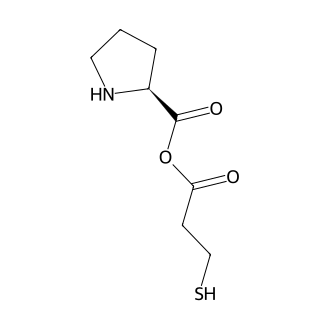 O=C(CCS)OC(=O)[C@@H]1CCCN1